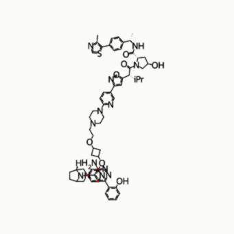 Cc1ncsc1-c1ccc([C@H](C)NC(=O)[C@@H]2C[C@@H](O)CN2C(=O)[C@@H](c2cc(-c3ccc(N4CCN(CCOC5CC(Oc6cc(N7C8CC[C@@H]7CN(c7cc(-c9ccccc9O)nnc7N)C8)ccn6)C5)CC4)nc3)no2)C(C)C)cc1